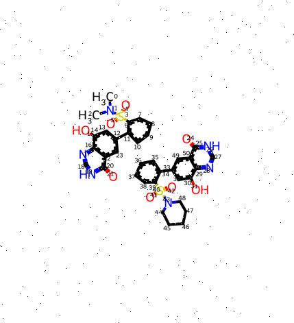 CN(C)S(=O)(=O)c1ccccc1-c1cc(O)c2nc[nH]c(=O)c2c1.O=c1[nH]cnc2c(O)cc(-c3ccccc3S(=O)(=O)N3CCCCC3)cc12